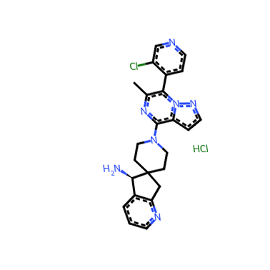 Cc1nc(N2CCC3(CC2)Cc2ncccc2[C@H]3N)c2ccnn2c1-c1ccncc1Cl.Cl